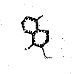 COc1ccc2c(C)ccnc2c1Br